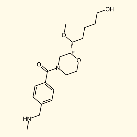 CNCc1ccc(C(=O)N2CCO[C@@H](C(CCCCO)OC)C2)cc1